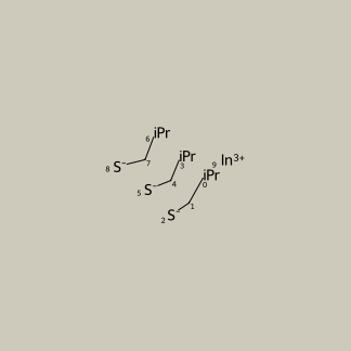 CC(C)C[S-].CC(C)C[S-].CC(C)C[S-].[In+3]